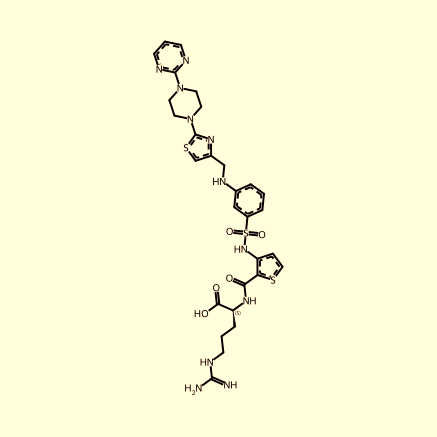 N=C(N)NCCC[C@H](NC(=O)c1sccc1NS(=O)(=O)c1cccc(NCc2csc(N3CCN(c4ncccn4)CC3)n2)c1)C(=O)O